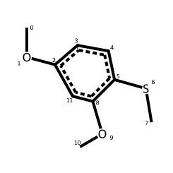 COc1[c]cc(SC)c(OC)c1